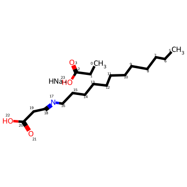 CCC(=O)O.CCCCCCCCCCCCN=CCC(=O)O.[NaH]